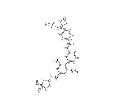 Cc1cc(OCC2CCS(=O)(=O)C2)cc(C)c1-c1cccc(CNc2ccc(C3(CC(=O)O)COC3)cc2)c1